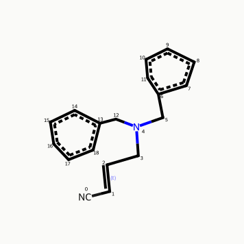 N#C/C=C/CN(Cc1ccccc1)Cc1ccccc1